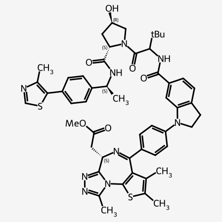 COC(=O)C[C@@H]1N=C(c2ccc(N3CCc4ccc(C(=O)NC(C(=O)N5C[C@H](O)C[C@H]5C(=O)N[C@@H](C)c5ccc(-c6scnc6C)cc5)C(C)(C)C)cc43)cc2)c2c(sc(C)c2C)-n2c(C)nnc21